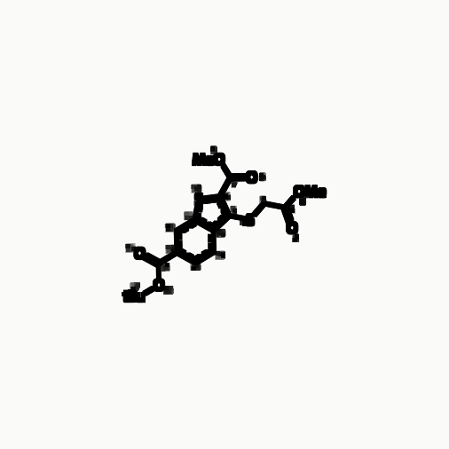 COC(=O)CSc1c(C(=O)OC)sc2cc(C(=O)OC(C)(C)C)ccc12